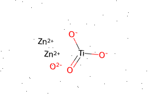 [O-2].[O]=[Ti]([O-])[O-].[Zn+2].[Zn+2]